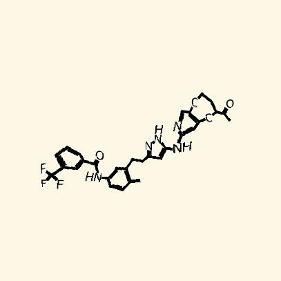 CC(=O)C1CCCc2cnc(Nc3cc(CCc4cc(NC(=O)c5cccc(C(F)(F)F)c5)ccc4C)n[nH]3)cc2C1